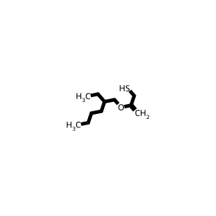 C=C(CS)OCC(CC)CCCC